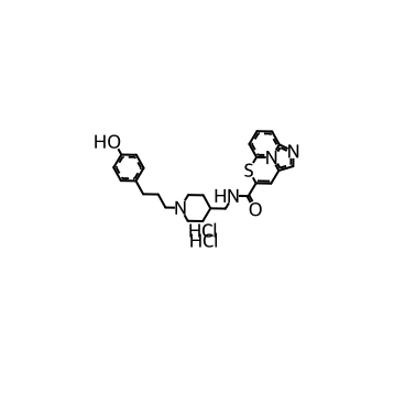 Cl.Cl.O=C(NCC1CCN(CCCc2ccc(O)cc2)CC1)C1=Cc2cnc3cccc(n23)S1